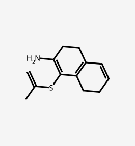 C=C(C)SC1=C(N)CCC2=C1CCC=C2